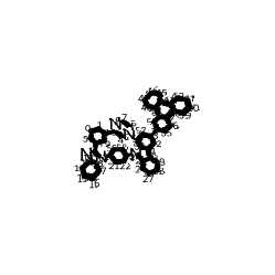 c1cc(-c2cnccn2)cc(-c2nc3ccccc3n2-c2ccc(-n3c4ccccc4c4cc(-c5ccc6c7ccccc7c7ccccc7c6c5)ccc43)cc2)c1